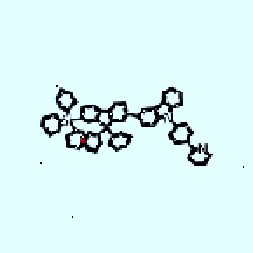 c1ccc(C2(c3ccccc3)c3cc(-c4ccc5c(c4)c4ccccc4n5-c4ccc(-c5ccccn5)cc4)ccc3-c3ccc([Si](c4ccccc4)(c4ccccc4)c4ccccc4)cc32)cc1